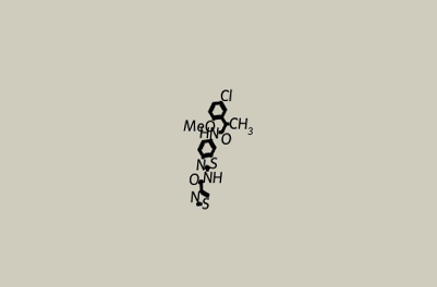 COc1ccc(Cl)cc1C(C)C(=O)Nc1ccc2nc(NC(=O)c3cscn3)sc2c1